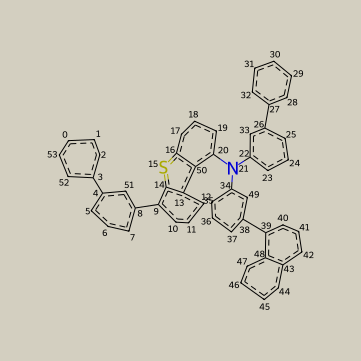 c1ccc(-c2cccc(-c3cccc4c3sc3cccc(N(c5cccc(-c6ccccc6)c5)c5cccc(-c6cccc7ccccc67)c5)c34)c2)cc1